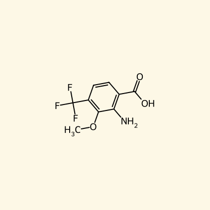 COc1c(C(F)(F)F)ccc(C(=O)O)c1N